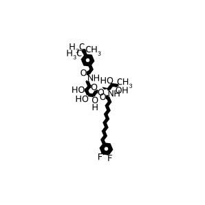 C[C@@H](O)[C@@H](O)[C@H](COC1OC(CNC(=O)Cc2ccc(C(C)(C)C)cc2)C(O)C(O)C1O)NC(=O)CCCCCCCCCCc1ccc(F)c(F)c1